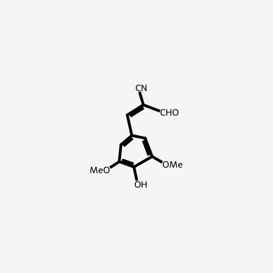 COc1cc(C=C(C#N)C=O)cc(OC)c1O